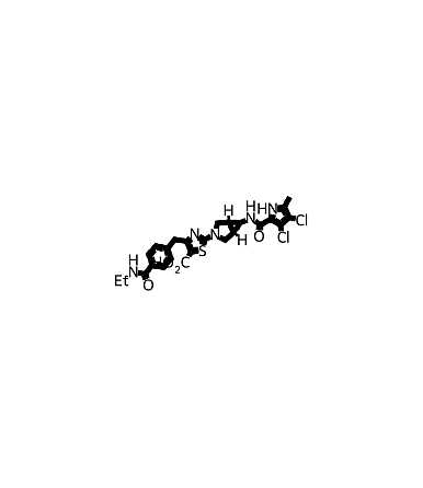 CCNC(=O)c1ccc(Cc2nc(N3C[C@@H]4C(NC(=O)c5[nH]c(C)c(Cl)c5Cl)[C@@H]4C3)sc2C(=O)O)cc1